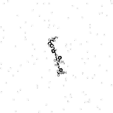 CC(C)c1nc(C(=O)C2CCOC3(CCN(Cc4cccc(CCOCCC(=O)N(CCNCCc5ccc(O)c6c5OCC(=O)N6)[C@H](C)c5ccccc5)c4F)CC3)C2)cs1